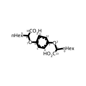 CCCCCCC(Oc1ccc(OC(CCCCCC)C(=O)O)cc1)C(=O)O